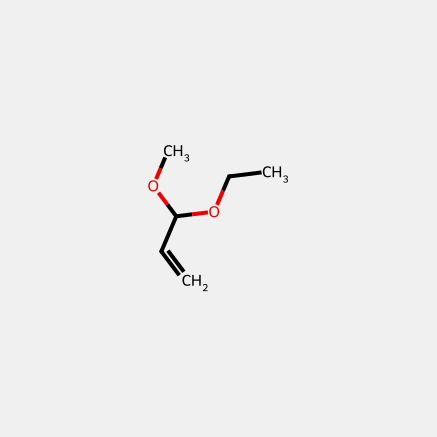 C=CC(OC)OCC